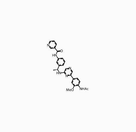 COc1cc(-c2cncc(N[C@@H](C)c3cccc(NC(=O)c4cccnc4)c3)n2)ccc1NC(C)=O